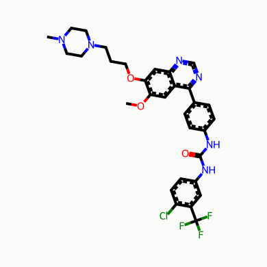 COc1cc2c(-c3ccc(NC(=O)Nc4ccc(Cl)c(C(F)(F)F)c4)cc3)ncnc2cc1OCCCN1CCN(C)CC1